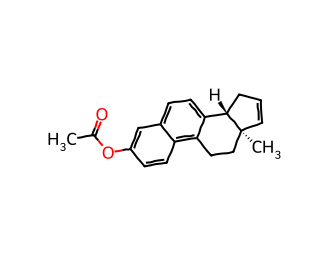 CC(=O)Oc1ccc2c3c(ccc2c1)[C@@H]1CC=C[C@@]1(C)CC3